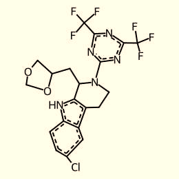 FC(F)(F)c1nc(N2CCc3c([nH]c4ccc(Cl)cc34)C2CC2COCO2)nc(C(F)(F)F)n1